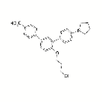 O=C(O)c1ccc(-c2ccc(OCCCO)c(-c3ccc(N4CCCC4)cc3)c2)cc1